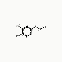 ClSCc1ccc(Cl)c(Cl)c1